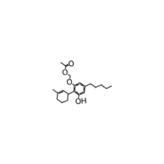 CCCCCc1cc(O)c(C2C=C(C)CCC2)c(OCOC(C)=O)c1